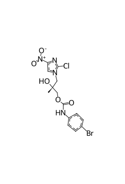 C[C@](O)(COC(=O)Nc1ccc(Br)cc1)Cn1cc([N+](=O)[O-])nc1Cl